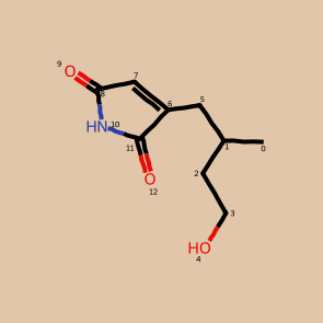 CC(CCO)CC1=CC(=O)NC1=O